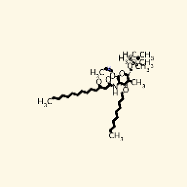 C/C=C\O[C@H]1O[C@H](CO[Si](C)(C)C(C)(C)C)C(C)[C@H](OCCCCCCCCCC)[C@H]1NC(=O)CC(=O)CCCCCCCCCCC